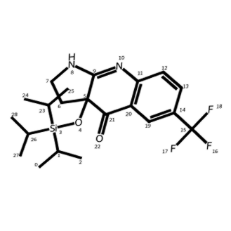 CC(C)[Si](OC12CCNC1=Nc1ccc(C(F)(F)F)cc1C2=O)(C(C)C)C(C)C